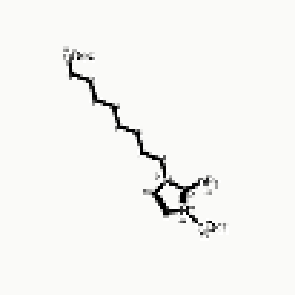 CCCCCCCCCCCCCCCCCCn1cc[n+](CCCCCCCC)c1CCC